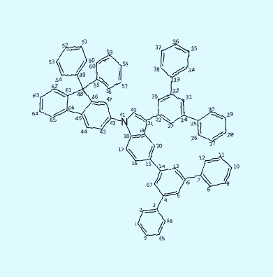 c1ccc(-c2cc(-c3ccccc3)cc(-c3ccc4c(c3)c(-c3cc(-c5ccccc5)cc(-c5ccccc5)c3)cn4-c3ccc4c(c3)C(c3ccccc3)(c3ccccc3)c3ccccc3-4)c2)cc1